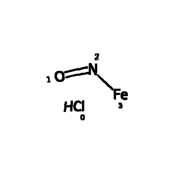 Cl.O=[N][Fe]